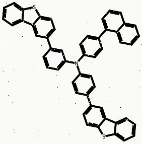 c1cc(-c2ccc3sc4ccccc4c3c2)cc(N(c2ccc(-c3ccc4sc5ccccc5c4c3)cc2)c2ccc(-c3cccc4ccccc34)cc2)c1